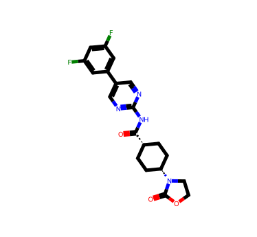 O=C1OCCN1[C@H]1CC[C@@H](C(=O)Nc2ncc(-c3cc(F)cc(F)c3)cn2)CC1